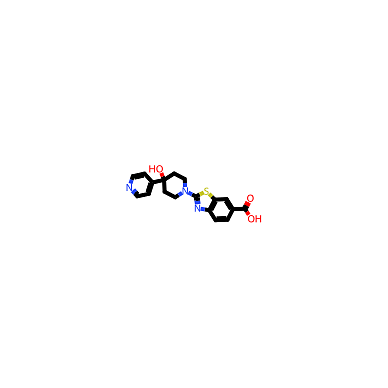 O=C(O)c1ccc2nc(N3CCC(O)(c4ccncc4)CC3)sc2c1